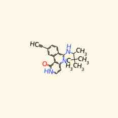 C#Cc1ccc2c(NC(C)C(C)(C)C)nc3cc[nH]c(=O)c3c2c1